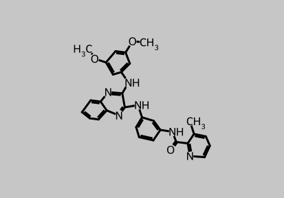 COc1cc(Nc2nc3ccccc3nc2Nc2cccc(NC(=O)c3ncccc3C)c2)cc(OC)c1